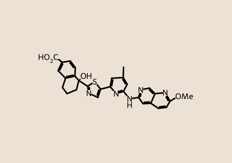 COc1ccc2cc(Nc3cc(C)cc(-c4cnc([C@@]5(O)CCCc6cc(C(=O)O)ccc65)s4)n3)ncc2n1